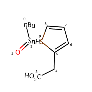 CCC[CH2][SnH]=[O].O=C(O)Cc1cccs1